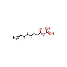 CCCCCCCC(=O)OC(O)O